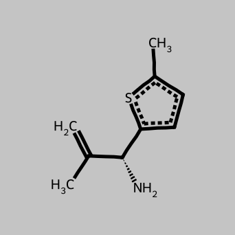 C=C(C)[C@@H](N)c1ccc(C)s1